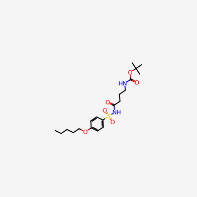 CCCCCOc1ccc(S(=O)(=O)NC(=O)CCCNC(=O)OC(C)(C)C)cc1